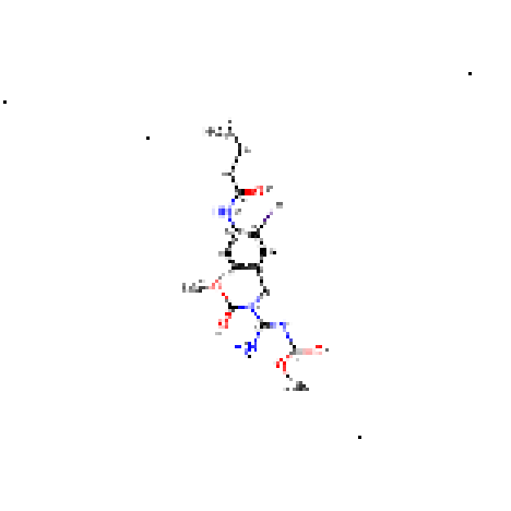 CC(C)(C)OC(=O)N=C(N)N(Cc1ccc(NC(=O)CCC(=O)O)c(I)c1)C(=O)OC(C)(C)C